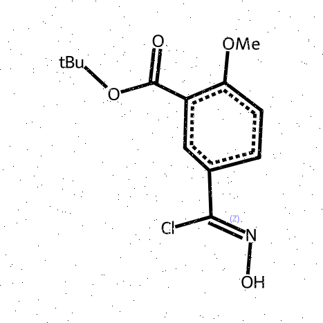 COc1ccc(/C(Cl)=N/O)cc1C(=O)OC(C)(C)C